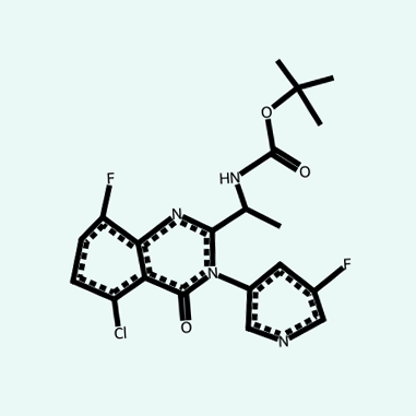 CC(NC(=O)OC(C)(C)C)c1nc2c(F)ccc(Cl)c2c(=O)n1-c1cncc(F)c1